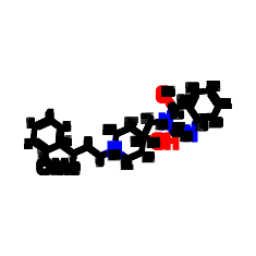 COc1ccccc1CCCN1CCC(O)(Cn2cnc3ccccc3c2=O)CC1